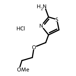 COCCOCc1csc(N)n1.Cl